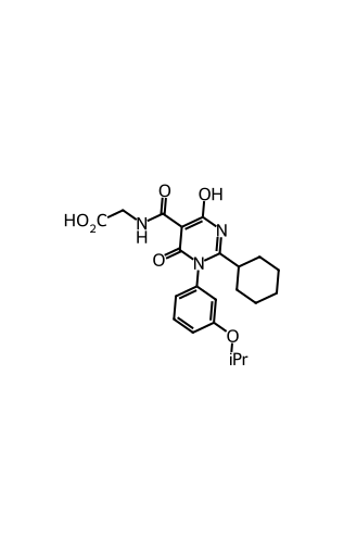 CC(C)Oc1cccc(-n2c(C3CCCCC3)nc(O)c(C(=O)NCC(=O)O)c2=O)c1